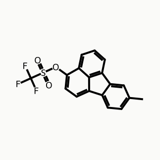 Cc1ccc2c(c1)-c1cccc3c(OS(=O)(=O)C(F)(F)F)ccc-2c13